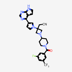 N#CCC1(n2ccc(-c3ncnc4[nH]ccc34)c2)CN(C2CCN(C(=O)c3cc(F)cc(C(F)(F)F)c3)CC2)C1